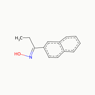 CCC(=NO)c1ccc2ccccc2c1